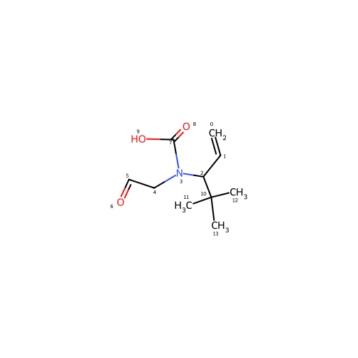 C=CC(N(CC=O)C(=O)O)C(C)(C)C